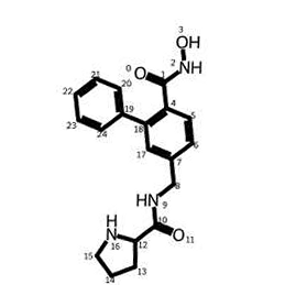 O=C(NO)c1ccc(CNC(=O)C2CCCN2)cc1-c1ccccc1